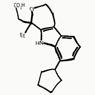 CCC1(CC(=O)O)OCCc2c1[nH]c1c(C3CCCC3)cccc21